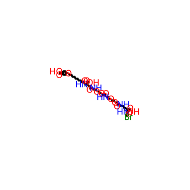 O=C(CC[C@H](NC(=O)CCCCCCCCCOc1ccc(C(=O)O)cc1)C(=O)O)NCCOCCOCC(=O)NCCOCCOCC(=O)NCCCC[C@H](NC(=O)CBr)C(=O)O